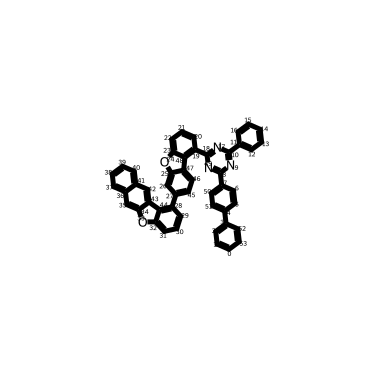 c1ccc(-c2ccc(-c3nc(-c4ccccc4)nc(-c4cccc5oc6cc(-c7cccc8oc9cc%10ccccc%10cc9c78)ccc6c45)n3)cc2)cc1